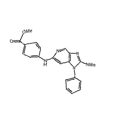 CNc1nc2cnc(Nc3ccc(C(=O)OC)cc3)cc2n1-c1ccccc1